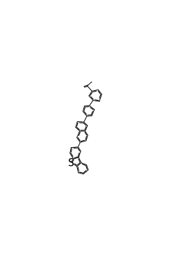 C=C(C)c1cccc(-c2ccc(-c3ccc4cc(-c5ccc6sc7ccccc7c6c5)ccc4c3)cc2)c1